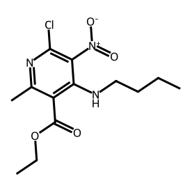 CCCCNc1c(C(=O)OCC)c(C)nc(Cl)c1[N+](=O)[O-]